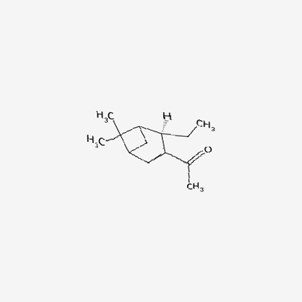 CC[C@H]1C(C(C)=O)CC2CC1C2(C)C